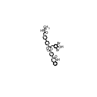 CONC(=O)CN1CCC(C2CCN(C(=O)[C@@H](Cc3cc(Br)c(O)c(Br)c3)OC(=O)N3CCC(N4CCc5ccccc5NC4=O)CC3)CC2)CC1